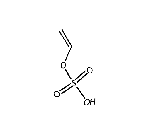 C=COS(=O)(=O)O